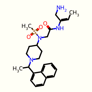 CC=C(CN)NC(=O)CN(C1CCN(C(C)c2cccc3ccccc23)CC1)S(C)(=O)=O